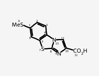 CSc1ccc2c(c1)sc1nc(C(=O)O)cn12